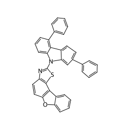 c1ccc(-c2ccc3c4c(-c5ccccc5)cccc4n(-c4nc5ccc6oc7ccccc7c6c5s4)c3c2)cc1